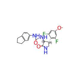 COc1cc(F)c([C@@H]2CNC(=O)[C@H]2NC(=O)Nc2ccc3c(c2)CCC3)c(F)c1